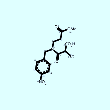 CCC(C(=O)O)C(=O)N(CCC(=O)OC)Cc1ccc([N+](=O)[O-])cc1